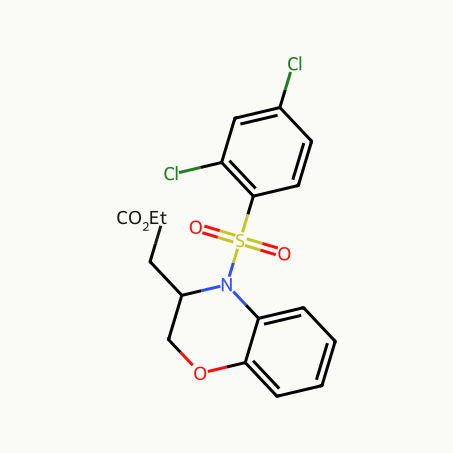 CCOC(=O)CC1COc2ccccc2N1S(=O)(=O)c1ccc(Cl)cc1Cl